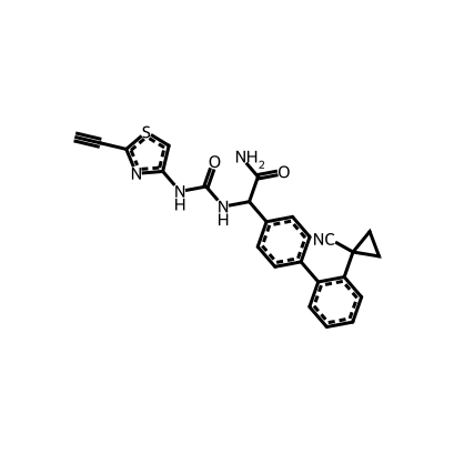 C#Cc1nc(NC(=O)NC(C(N)=O)c2ccc(-c3ccccc3C3(C#N)CC3)cc2)cs1